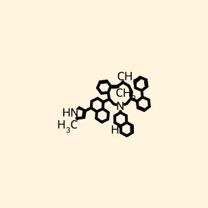 C/C1=C2/C=CCCC2C(C2CCC(C3=CC(C)NC3)C3CCCCC32)CN(C2CC[C@H]3CCC=CC3C2)CC(C2C=CCCC2C2C=CC=CC2)CCC1C